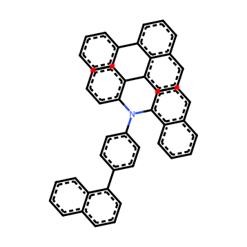 c1ccc(-c2cccc3cccc(-c4ccccc4N(c4ccc(-c5cccc6ccccc56)cc4)c4cccc5ccccc45)c23)cc1